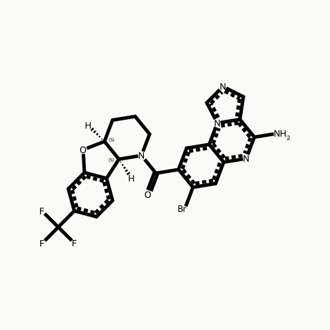 Nc1nc2cc(Br)c(C(=O)N3CCC[C@@H]4Oc5cc(C(F)(F)F)ccc5[C@@H]43)cc2n2cncc12